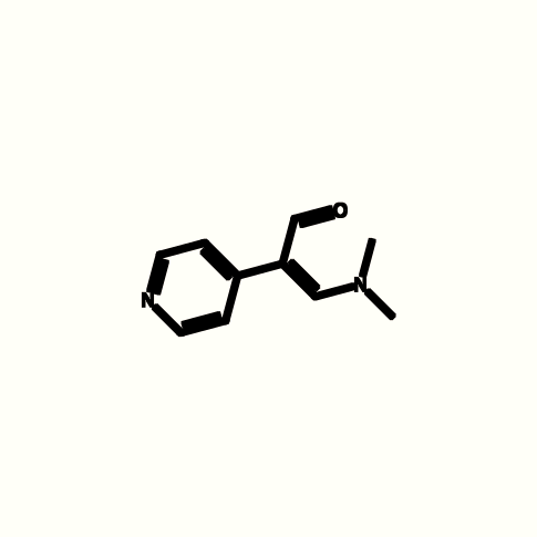 CN(C)C=C(C=O)c1ccncc1